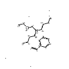 C=Cc1ccccc1.CCCCN(CCCC)COCC